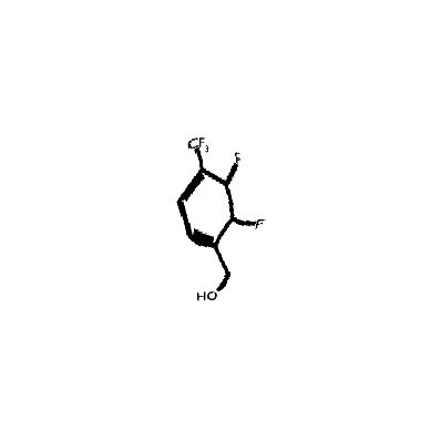 OCC1=CC=C(C(F)(F)F)C(F)C1F